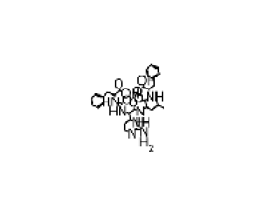 CC(C)CC(NC(=O)C(NC(=O)NC(Cc1ccccc1)C(=O)O)C1CCN=C(N)N1)C(=O)NC(Cc1ccccc1)C(=O)O